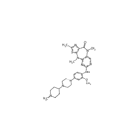 COc1cc(N2CCN(C3CCN(C)CC3)CC2)ccc1Nc1ncc2c(n1)N(C)c1sc(C)nc1C(=O)N2C